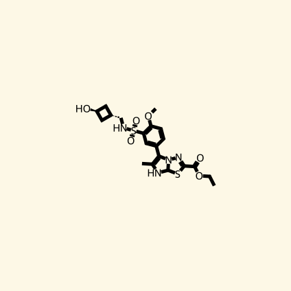 CCOC(=O)C1=NN2C(c3ccc(OC)c(S(=O)(=O)NC[C@H]4C[C@H](O)C4)c3)=C(C)NC2S1